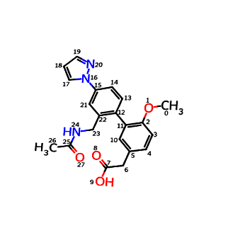 COc1ccc(CC(=O)O)cc1-c1ccc(-n2cccn2)cc1CNC(C)=O